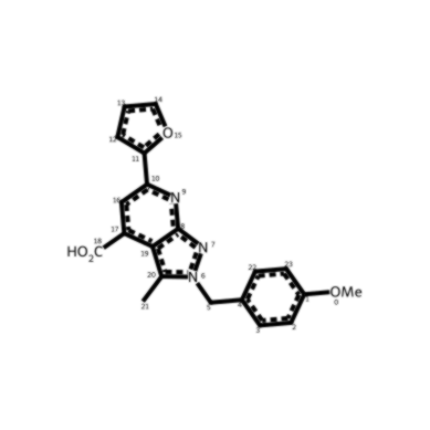 COc1ccc(Cn2nc3nc(-c4ccco4)cc(C(=O)O)c3c2C)cc1